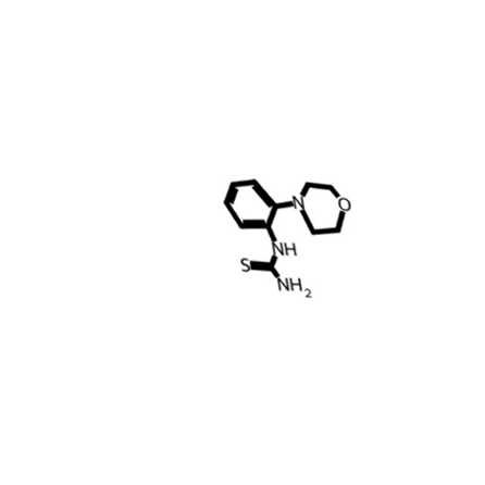 NC(=S)Nc1ccccc1N1CCOCC1